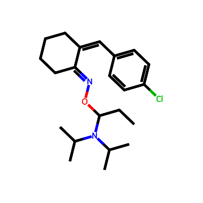 CCC(ON=C1CCCCC1=Cc1ccc(Cl)cc1)N(C(C)C)C(C)C